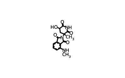 CNc1cccc2c1C(=O)N(C1(C)CC(O)C(=O)NC1=O)C2=O